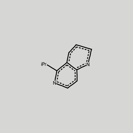 CC(C)c1nccc2ncccc12